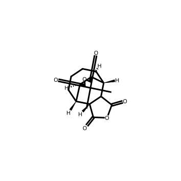 O=C1OC(=O)[C@H]2C1[C@H]1CCCC[C@@H]2[C@@H]2C(=O)OC(=O)[C@@H]21